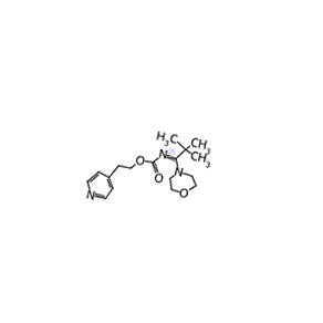 CC(C)(C)/C(=N/C(=O)OCCc1ccncc1)N1CCOCC1